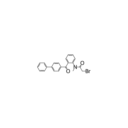 CN(C(=O)CBr)c1ccccc1C(=O)c1ccc(-c2ccccc2)cc1